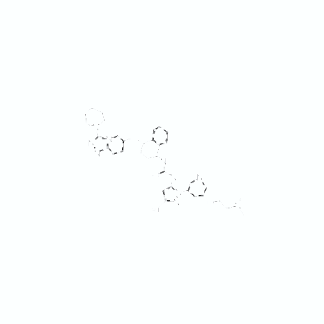 C[C@@H]1CCC[C@H](C)N1c1nnc2ccc(O[C@@H]3CC[C@H](NC(=O)Nc4cc(C(C)(C)C)nn4-c4cncc(OCCN(C)C)c4)c4ccccc43)cn12